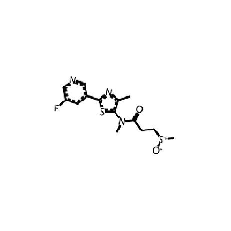 Cc1nc(-c2cncc(F)c2)sc1N(C)C(=O)CC[S+](C)[O-]